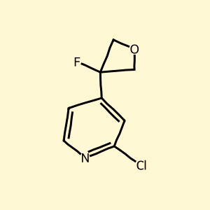 FC1(c2ccnc(Cl)c2)COC1